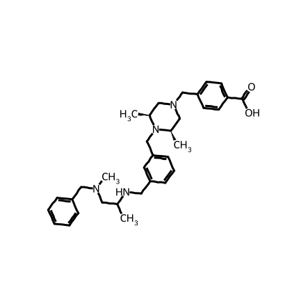 CC(CN(C)Cc1ccccc1)NCc1cccc(CN2[C@H](C)CN(Cc3ccc(C(=O)O)cc3)C[C@@H]2C)c1